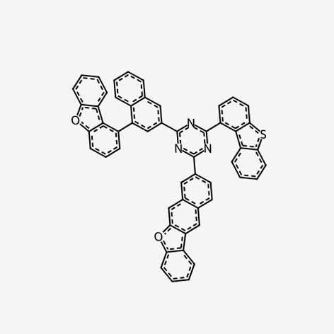 c1ccc2c(-c3cccc4oc5ccccc5c34)cc(-c3nc(-c4ccc5cc6c(cc5c4)oc4ccccc46)nc(-c4cccc5sc6ccccc6c45)n3)cc2c1